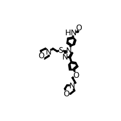 O=CNc1ccc(-n2cc(-c3ccc(OCCN4CCOCC4)cc3)nc2SCCN2CCOCC2)cc1